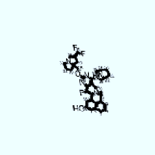 C#Cc1cccc2cc(O)cc(-c3ncc4c(N5CC6CCC(C5)N6)nc(OCC56CCCN5CC(=C(F)F)C6)nc4c3F)c12